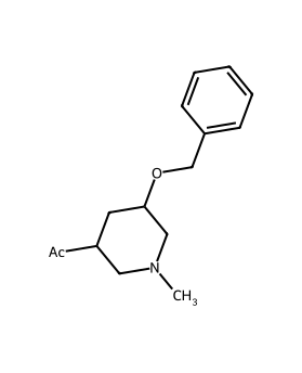 CC(=O)C1CC(OCc2ccccc2)CN(C)C1